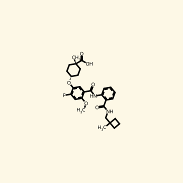 COc1cc(F)c(O[C@H]2CC[C@@](C)(C(=O)O)CC2)cc1C(=O)Nc1ccccc1C(=O)NCC1(C)CCC1